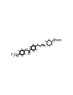 CCCCC[C@H]1CC[C@H](/C=C/CCc2ccc(C(=O)Oc3ccc(OC(F)(F)F)cc3)cc2)CC1